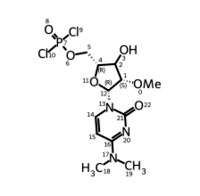 CO[C@H]1C(O)[C@@H](COP(=O)(Cl)Cl)O[C@H]1n1ccc(N(C)C)nc1=O